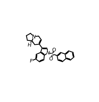 O=S(=O)(c1ccc2ccccc2c1)n1cc(C2=CCN3CCC[C@@H]3C2)c2cc(F)ccc21